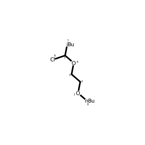 CCCCOCCOC(Cl)C(C)CC